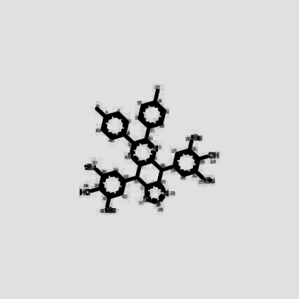 Cc1ccc(-c2nc3c(nc2-c2ccc(C)cc2)C(c2cc(C(C)(C)C)c(O)c(C(C)(C)C)c2)c2nsnc2C3c2cc(C(C)(C)C)c(O)c(C(C)(C)C)c2)cc1